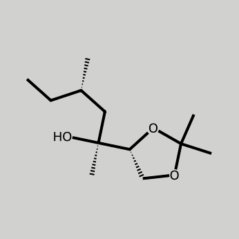 CC[C@H](C)C[C@](C)(O)[C@H]1COC(C)(C)O1